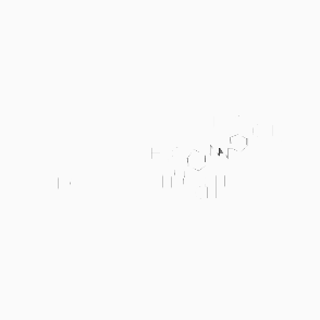 CCCCCCCCCCCCOc1c(C)cc(/N=N/c2ccc(C)c(C)c2)cc1C(C)(C)C